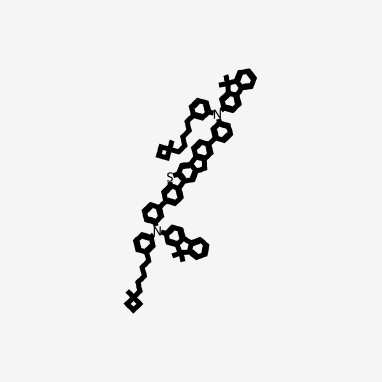 CC1(CCCCCc2cccc(N(c3cccc(-c4ccc5c(c4)Cc4cc6c(cc4-5)sc4cc(-c5cccc(N(c7cccc(CCCCCC8(C)CCC8)c7)c7ccc8c(c7)C(C)(C)c7ccccc7-8)c5)ccc46)c3)c3ccc4c(c3)C(C)(C)c3ccccc3-4)c2)CCC1